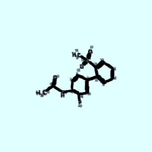 CC(=O)Nc1ccc(-c2ccccc2S(C)(=O)=O)cc1F